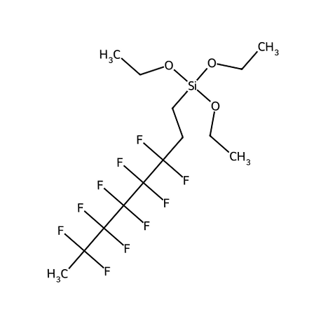 CCO[Si](CCC(F)(F)C(F)(F)C(F)(F)C(F)(F)C(C)(F)F)(OCC)OCC